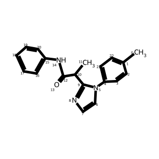 Cc1ccc(-n2ccnc2C(C)C(=O)Nc2ccccc2)cc1